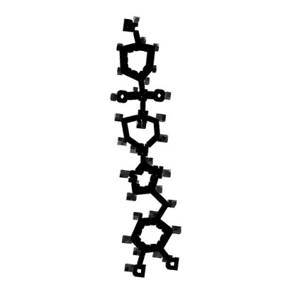 O=S(=O)(c1ccc(Br)cc1)N1CCN(c2nc(Cc3ccc(Cl)c(Cl)c3)cs2)CC1